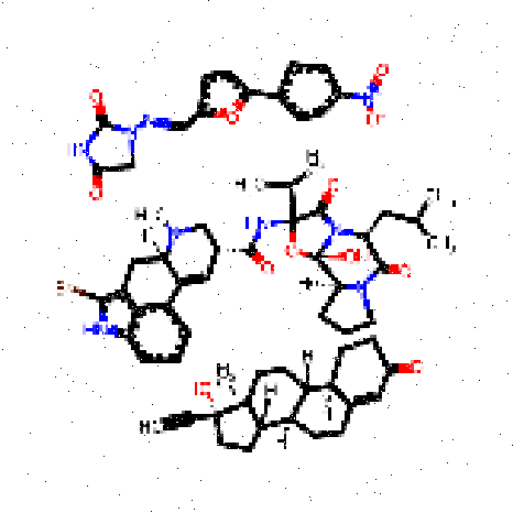 C#C[C@]1(O)CC[C@H]2[C@@H]3CCC4=CC(=O)CC[C@@H]4[C@H]3CC[C@@]21C.CC(C)C[C@H]1C(=O)N2CCC[C@H]2[C@]2(O)O[C@](NC(=O)[C@@H]3C=C4c5cccc6[nH]c(Br)c(c56)C[C@H]4N(C)C3)(C(C)C)C(=O)N12.O=C1CN(N=Cc2ccc(-c3ccc([N+](=O)[O-])cc3)o2)C(=O)N1